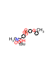 Cc1ccccc1Oc1ccc(S(=O)(=O)Oc2ccc(C(O)CN(C)C(=O)OC(C)(C)C)cc2)cc1